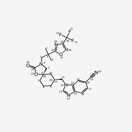 CC(C)(CN1C[C@@]2(CCC[C@H](Cn3cnc4ccc(C#N)cc43)C2)OC1=O)c1nc(C(F)(F)F)no1